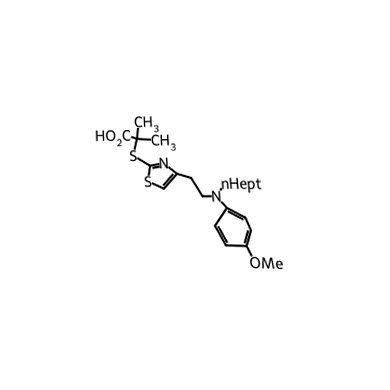 CCCCCCCN(CCc1csc(SC(C)(C)C(=O)O)n1)c1ccc(OC)cc1